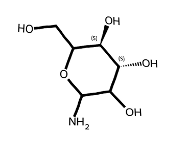 NC1OC(CO)[C@@H](O)[C@H](O)C1O